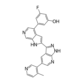 Cc1ccncc1-c1cnc2[nH]nc(-c3cc4c(-c5cc(O)cc(F)c5)cncc4[nH]3)c2c1